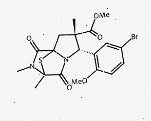 COC(=O)[C@@]1(C)CC23SC(C)(C(=O)N2[C@H]1c1cc(Br)ccc1OC)N(C)C3=O